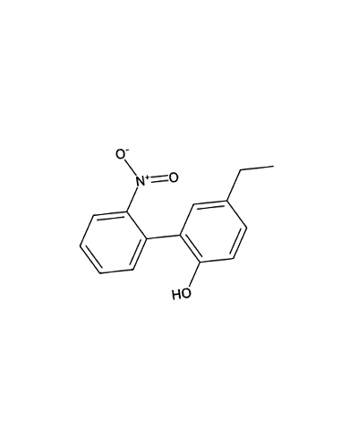 CCc1ccc(O)c(-c2ccccc2[N+](=O)[O-])c1